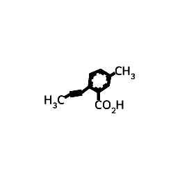 CC#Cc1ccc(C)cc1C(=O)O